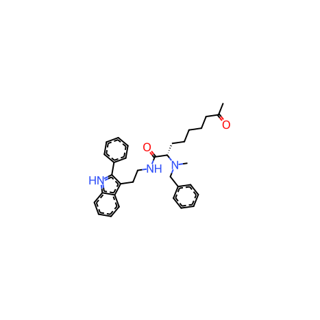 CC(=O)CCCCC[C@@H](C(=O)NCCc1c(-c2ccccc2)[nH]c2ccccc12)N(C)Cc1ccccc1